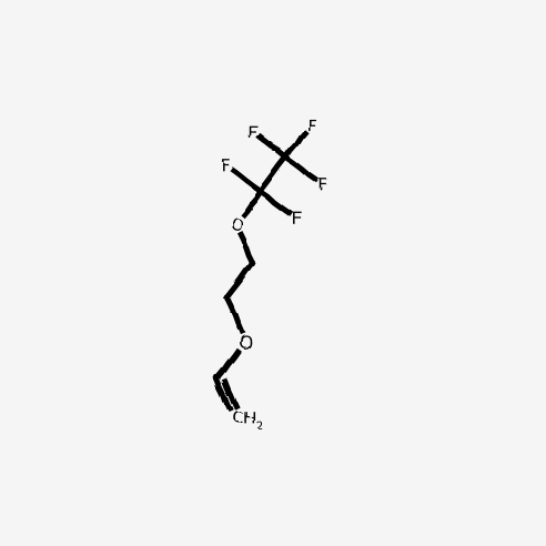 C=COCCOC(F)(F)C(F)(F)F